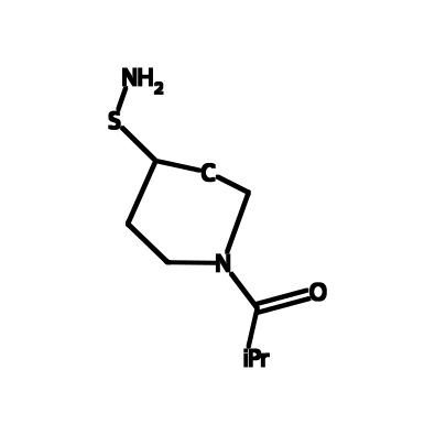 CC(C)C(=O)N1CCC(SN)CC1